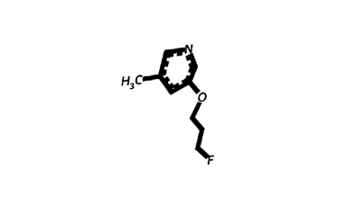 Cc1cncc(OCCCF)c1